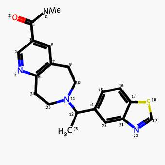 CNC(=O)c1cnc2c(c1)CCN(C(C)c1ccc3scnc3c1)CC2